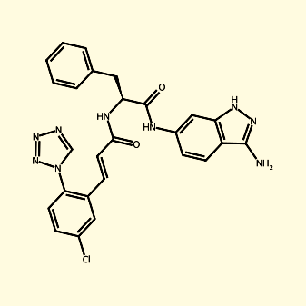 Nc1n[nH]c2cc(NC(=O)[C@H](Cc3ccccc3)NC(=O)C=Cc3cc(Cl)ccc3-n3cnnn3)ccc12